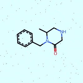 CC1CNCC(=O)N1Cc1ccccc1